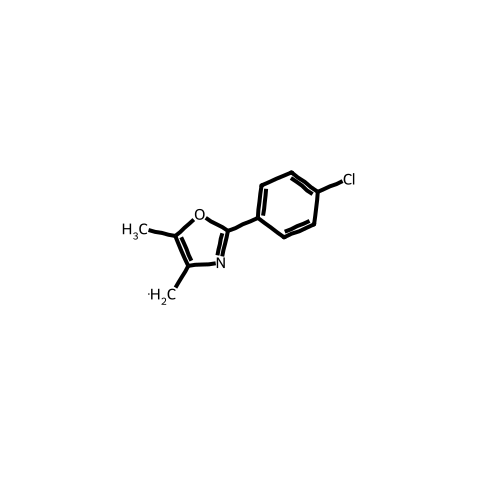 [CH2]c1nc(-c2ccc(Cl)cc2)oc1C